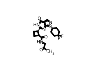 CC(=O)CNC(=O)C1CC[C@H]1c1nc2c(cnn2C2CCC(F)(F)CC2)c(=O)[nH]1